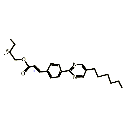 CCCCCCc1cnc(-c2ccc(/C=C/C(=O)OC[C@H](C)CC)cc2)nc1